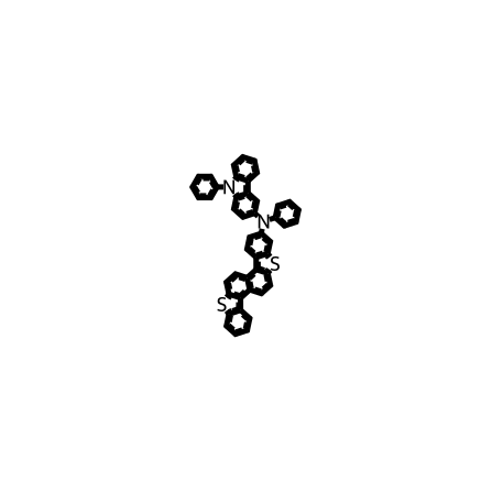 c1ccc(N(c2ccc3c(c2)sc2ccc4c(ccc5sc6ccccc6c54)c23)c2ccc3c(c2)c2ccccc2n3-c2ccccc2)cc1